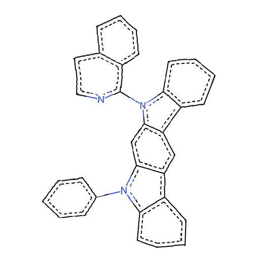 c1ccc(-n2c3ccccc3c3cc4c5ccccc5n(-c5nccc6ccccc56)c4cc32)cc1